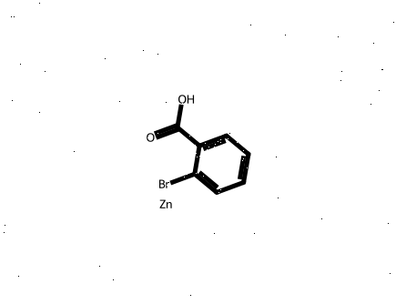 O=C(O)c1ccccc1Br.[Zn]